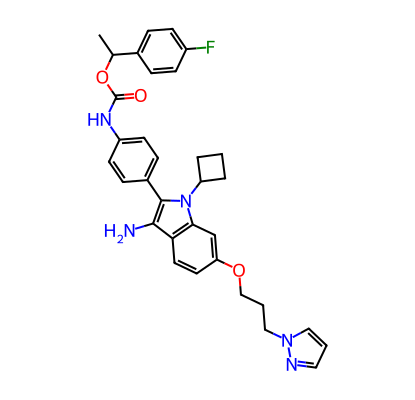 CC(OC(=O)Nc1ccc(-c2c(N)c3ccc(OCCCn4cccn4)cc3n2C2CCC2)cc1)c1ccc(F)cc1